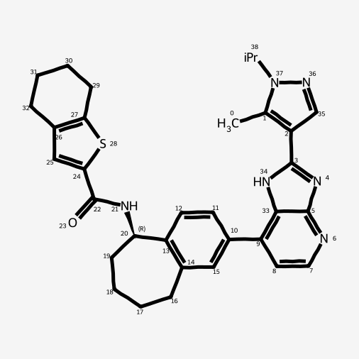 Cc1c(-c2nc3nccc(-c4ccc5c(c4)CCCC[C@H]5NC(=O)c4cc5c(s4)CCCC5)c3[nH]2)cnn1C(C)C